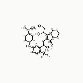 CCC(C)C1=C(/C=C(\C)c2nc(NC3CCN(N(C)O)CC3)ncc2C(F)(F)F)C(=O)N2CCCCC12